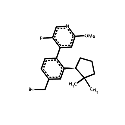 COc1cc(-c2ccc(CC(C)C)cc2[C@H]2CCCC2(C)C)c(F)cn1